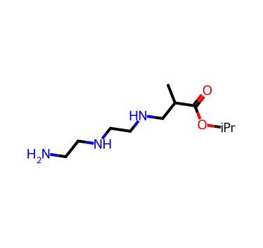 CC(C)OC(=O)C(C)CNCCNCCN